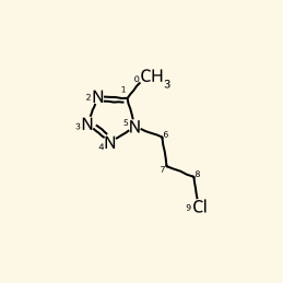 Cc1nnnn1CCCCl